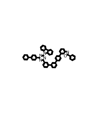 c1ccc(-c2ccc(-c3nc(-c4cccc(-c5cccc(-c6ccc(-c7cccc8nc(-c9ccccc9)oc78)cc6)c5)c4)nc(-n4c5ccccc5c5ccccc54)n3)cc2)cc1